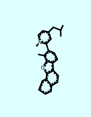 Cc1c(-c2cc(CC(C)C)cc[n+]2C)ccc2c1oc1c3ccccc3ccc21